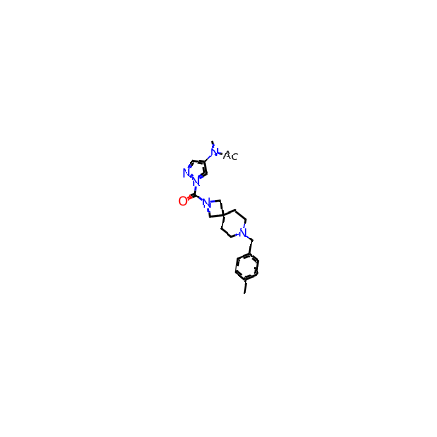 CC(=O)N(C)c1cnn(C(=O)N2CC3(CCN(Cc4ccc(C)cc4)CC3)C2)c1